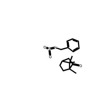 CC12CCC(CC1=O)C2(C)C.O=S(=O)=NCc1ccccc1